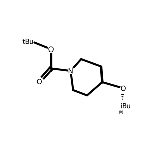 CC[C@@H](C)OC1CCN(C(=O)OC(C)(C)C)CC1